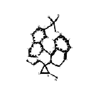 CC=CC1(C2CC=c3ccccc3=C2c2nccc3ccc(C(C)(C)C)cc23)C[C@@H]1C